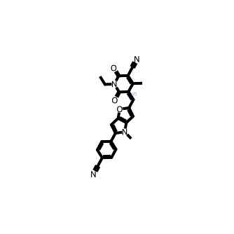 CCN1C(=O)C(C#N)=C(C)/C(=C/c2cc3c(cc(-c4ccc(C#N)cc4)n3C)o2)C1=O